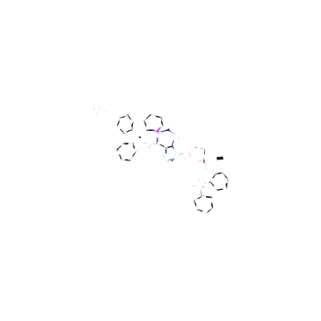 C#C[C@]1(CO[Si](c2ccccc2)(c2ccccc2)C(C)(C)C)O[C@@H](n2cnc3c(NC(c4ccccc4)(c4ccccc4)c4ccc(OC)cc4)nc(F)nc32)C[C@@H]1O